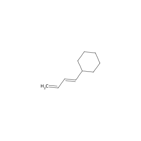 C=CC=CC1CCCCC1